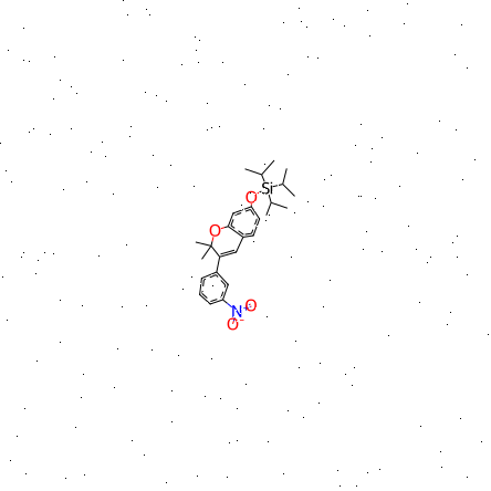 CC(C)[Si](Oc1ccc2c(c1)OC(C)(C)C(c1cccc([N+](=O)[O-])c1)=C2)(C(C)C)C(C)C